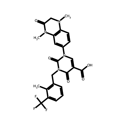 Cc1c(Cn2c(=O)c(C(=O)O)cn(-c3ccc4c(c3)N(C)C(=O)CN4C)c2=O)cccc1C(F)(F)F